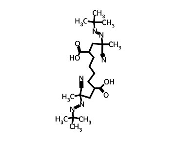 CC(C)(C)/N=N/C(C)(C#N)CC(CCCCC(CC(C)(C#N)/N=N/C(C)(C)C)C(=O)O)C(=O)O